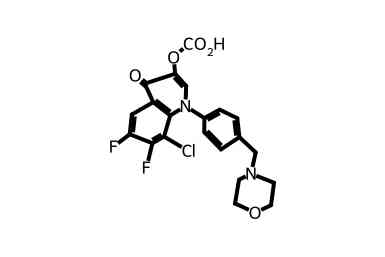 O=C(O)Oc1cn(-c2ccc(CN3CCOCC3)cc2)c2c(Cl)c(F)c(F)cc2c1=O